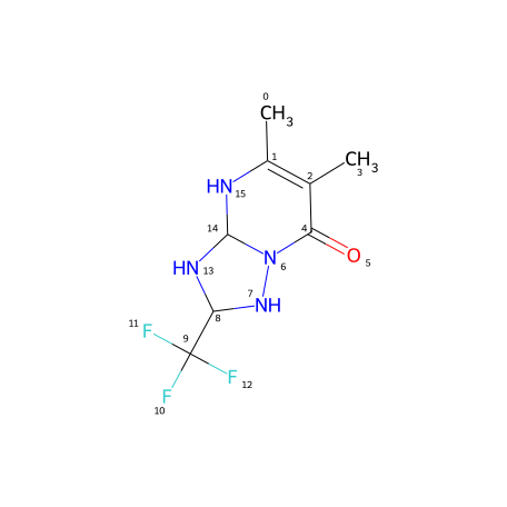 CC1=C(C)C(=O)N2NC(C(F)(F)F)NC2N1